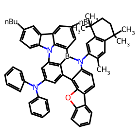 CCCCc1ccc2c(c1)c1cc(CCCC)cc3c1n2-c1cc(N(c2ccccc2)c2ccccc2)cc2c1B3N(c1cc3c(cc1C)C(C)(C)CCC3(C)C)c1ccc3c(oc4ccccc43)c1-2